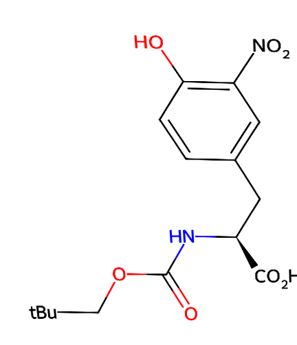 CC(C)(C)COC(=O)N[C@@H](Cc1ccc(O)c([N+](=O)[O-])c1)C(=O)O